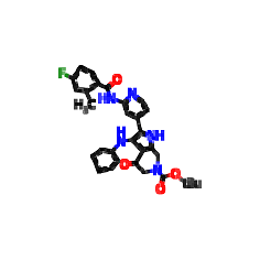 Cc1cc(F)ccc1C(=O)Nc1cc(-c2[nH]c3c(c2Nc2ccccc2)C(=O)CN(C(=O)OC(C)(C)C)C3)ccn1